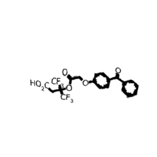 O=C(O)CC(OC(=O)COc1ccc(C(=O)c2ccccc2)cc1)(C(F)(F)F)C(F)(F)F